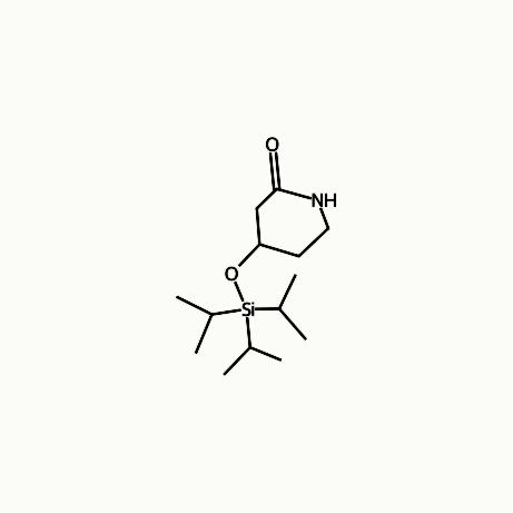 CC(C)[Si](OC1CCNC(=O)C1)(C(C)C)C(C)C